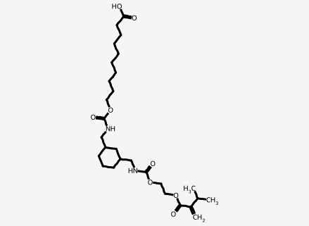 C=C(C(=O)OCCOC(=O)NCC1CCCC(CNC(=O)OCCCCCCCCCC(=O)O)C1)C(C)C